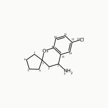 NC1CC2(CCCC2)Oc2ccc(Cl)cc21